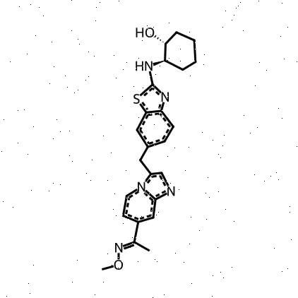 CO/N=C(\C)c1ccn2c(Cc3ccc4nc(N[C@@H]5CCCC[C@H]5O)sc4c3)cnc2c1